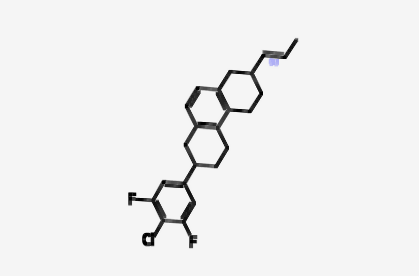 C/C=C/C1CCc2c(ccc3c2CCC(c2cc(F)c(Cl)c(F)c2)C3)C1